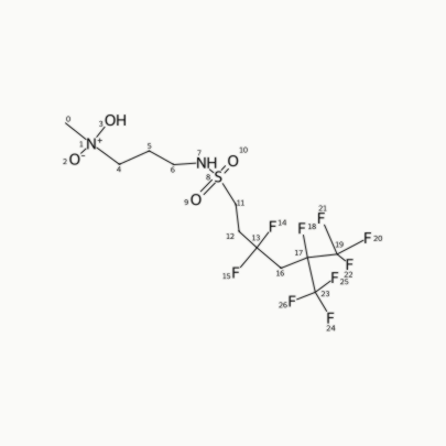 C[N+]([O-])(O)CCCNS(=O)(=O)CCC(F)(F)CC(F)(C(F)(F)F)C(F)(F)F